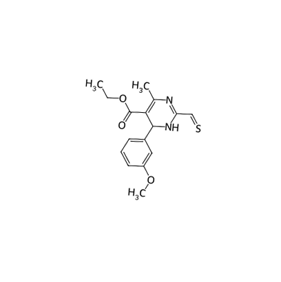 CCOC(=O)C1=C(C)N=C(C=S)NC1c1cccc(OC)c1